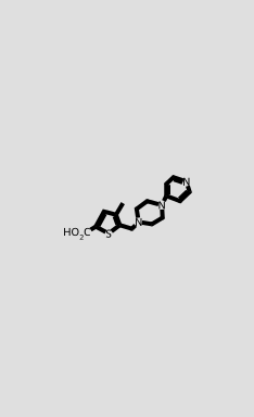 Cc1cc(C(=O)O)sc1CN1CCN(c2ccncc2)CC1